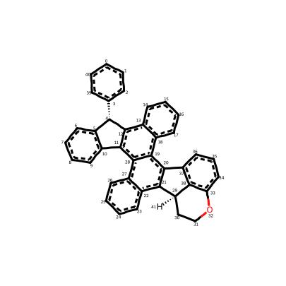 c1ccc([C@H]2c3ccccc3-c3c2c2ccccc2c2c4c(c5ccccc5c32)[C@@H]2CCOc3cccc-4c32)cc1